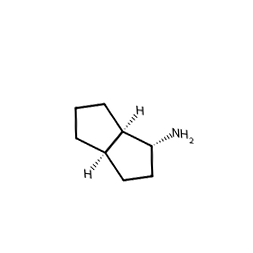 N[C@@H]1CC[C@H]2CCC[C@H]21